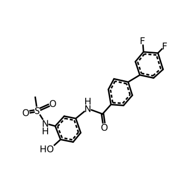 CS(=O)(=O)Nc1cc(NC(=O)c2ccc(-c3ccc(F)c(F)c3)cc2)ccc1O